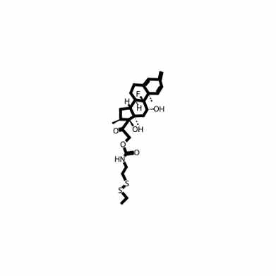 C=C1C=C[C@]2(C)C(=C1)CC[C@@H]1[C@H]3C[C@H](C)[C@@](O)(C(=O)COC(=O)NCCSSCC)[C@]3(C)C[C@@H](O)[C@]12F